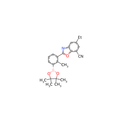 CCc1cc(C#N)c2oc(-c3cccc(B4OC(C)(C)C(C)(C)O4)c3C)nc2c1